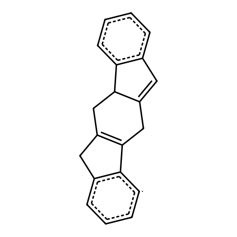 [c]1cccc2c1C1=C(C2)CC2C(=Cc3ccccc32)C1